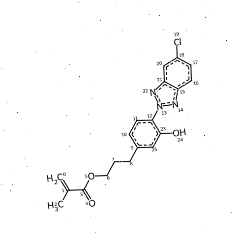 C=C(C)C(=O)OCCCc1ccc(-n2nc3ccc(Cl)cc3n2)c(O)c1